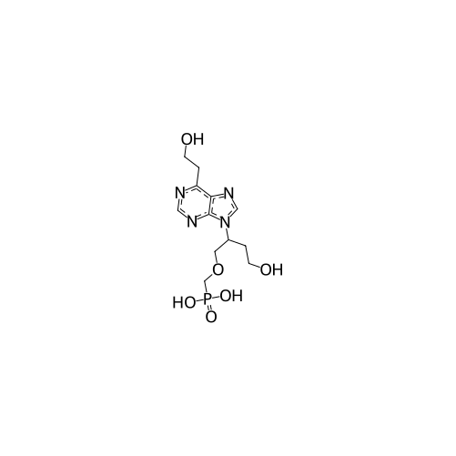 O=P(O)(O)COCC(CCO)n1cnc2c(CCO)ncnc21